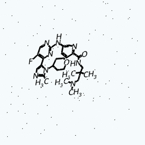 Cc1ncc(-c2nc(Nc3ccc(C(=O)NCC(C)(C)CN(C)C)nc3)ncc2F)n1C1CCOCC1